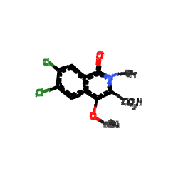 CCCCOc1c(C(=O)O)n(C(C)C)c(=O)c2cc(Cl)c(Cl)cc12